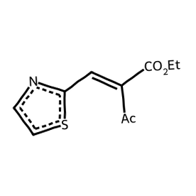 CCOC(=O)C(=Cc1nccs1)C(C)=O